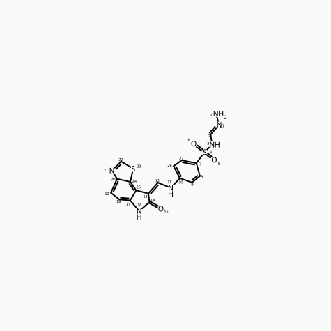 NN=CNS(=O)(=O)c1ccc(NC=C2C(=O)Nc3ccc4ncsc4c32)cc1